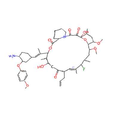 C=CCC1/C=C(\C)C(F)C(C)CC(OC)C2OC(O)(C(=O)C(=O)N3CCCCC3C(=O)OC(C(C)=CC3CCC(N)C(Oc4ccc(OC)cc4)C3)C(C)C(O)CC1=O)C(C)CC2OC